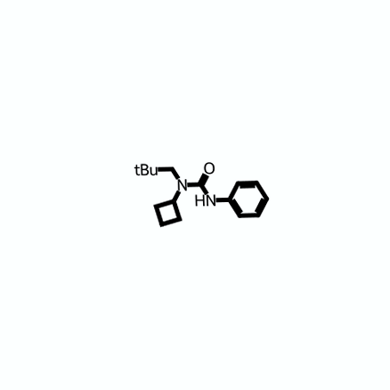 CC(C)(C)CN(C(=O)Nc1ccccc1)C1CCC1